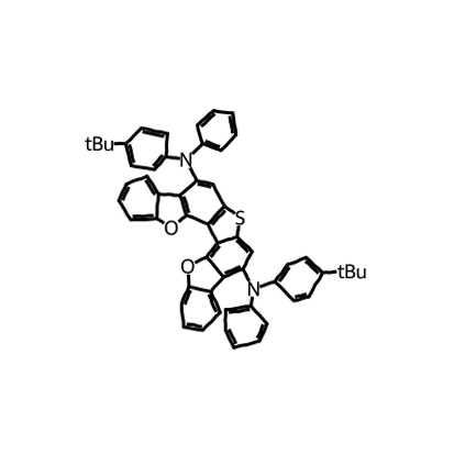 CC(C)(C)c1ccc(N(c2ccccc2)c2cc3sc4cc(N(c5ccccc5)c5ccc(C(C)(C)C)cc5)c5c6ccccc6oc5c4c3c3oc4ccccc4c23)cc1